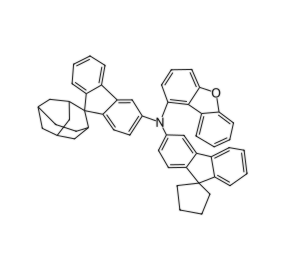 c1ccc2c(c1)-c1cc(N(c3ccc4c(c3)-c3ccccc3C43C4CCC5CC(C4)CC3C5)c3cccc4oc5ccccc5c34)ccc1C21CCCC1